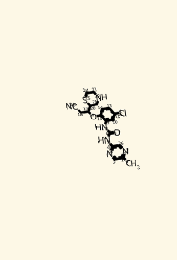 Cc1cnc(NC(=O)Nc2cc(Cl)ccc2OC(CC#N)C2CNCCS2)cn1